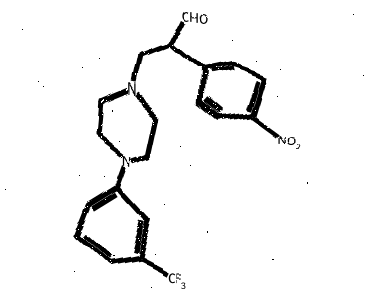 O=CC(CN1CCN(c2cccc(C(F)(F)F)c2)CC1)c1ccc([N+](=O)[O-])cc1